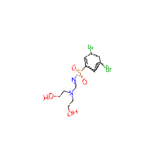 O=S(=O)(N=CN(CCO)CCO)c1cc(Br)cc(Br)c1